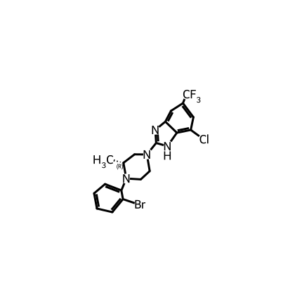 C[C@@H]1CN(c2nc3cc(C(F)(F)F)cc(Cl)c3[nH]2)CCN1c1ccccc1Br